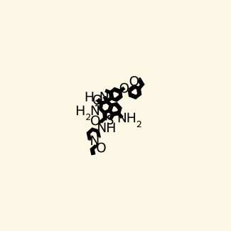 C=CC(=O)N1CCCC(NC(=O)c2sc3c(N)ccc4c3c2C(N)C(=O)C4(N)c2ccc(Oc3cccc4ccoc34)cc2C)C1